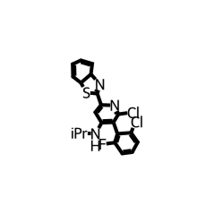 CC(C)Nc1cc(C2=NC3C=CC=CC3S2)nc(Cl)c1-c1c(F)cccc1Cl